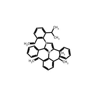 C=Cc1cccc(C(C)C)c1-n1cc(-c2ccccc2)[n+](-c2c(C=C)cccc2C(C)C)c1-c1ccccc1